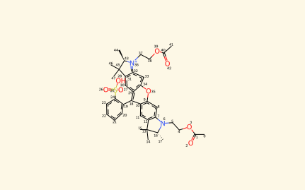 CC(=O)OCCN1c2cc3c(cc2C(C)(C)[C@H]1C)C(c1ccccc1S(=O)(=O)O)=c1cc2c(cc1O3)=[N+](CCOC(C)=O)[C@H](C)C2(C)C